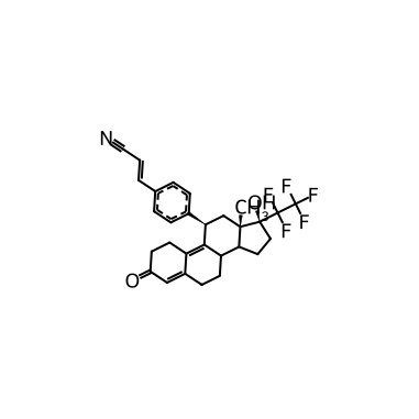 C[C@]12C[C@H](c3ccc(/C=C/C#N)cc3)C3=C4CCC(=O)C=C4CCC3C1CC[C@@]2(O)C(F)(F)C(F)(F)F